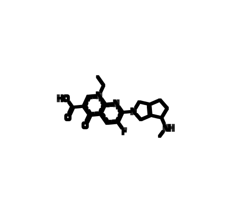 CCn1cc(C(=O)O)c(=O)c2cc(F)c(N3CC4=C(C3)C(NC)CC4)nc21